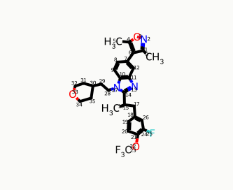 Cc1noc(C)c1-c1ccc2c(c1)nc(C(C)Cc1ccc(OC(F)(F)F)c(F)c1)n2CCC1CCOCC1